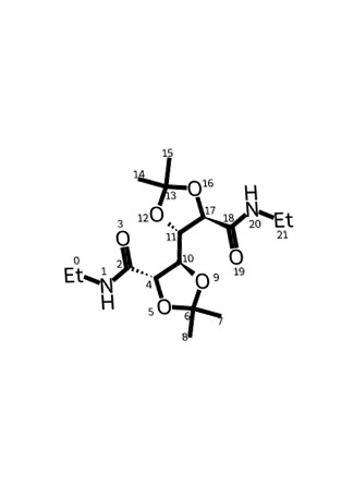 CCNC(=O)[C@H]1OC(C)(C)O[C@@H]1[C@@H]1OC(C)(C)O[C@H]1C(=O)NCC